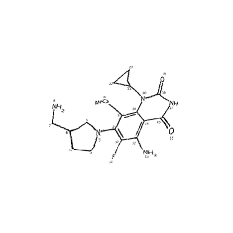 COc1c(N2CCC(CN)C2)c(F)c(N)c2c(=O)[nH]c(=O)n(C3CC3)c12